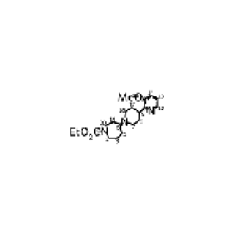 CCOC(=O)N1CCCC(N2CCC(c3ncccc3OC)CC2)CC1